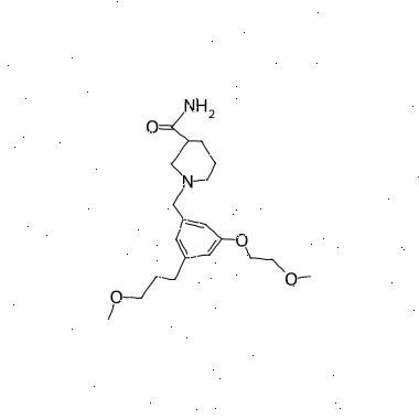 COCCCc1cc(CN2CCCC(C(N)=O)C2)cc(OCCOC)c1